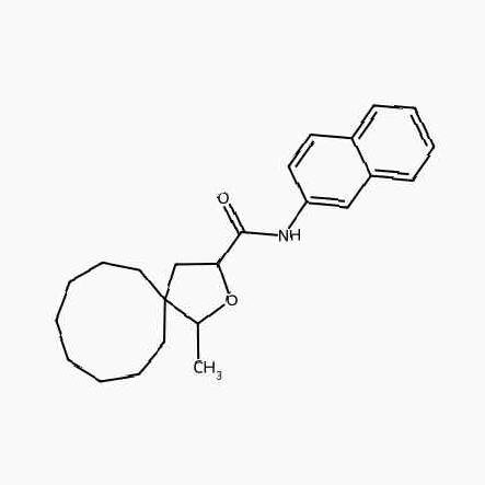 CC1OC(C(=O)Nc2ccc3ccccc3c2)CC12CCCCCCCC2